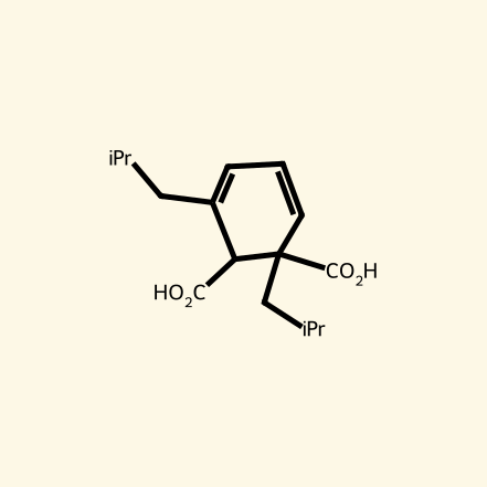 CC(C)CC1=CC=CC(CC(C)C)(C(=O)O)C1C(=O)O